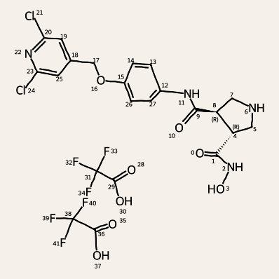 O=C(NO)[C@H]1CNC[C@@H]1C(=O)Nc1ccc(OCc2cc(Cl)nc(Cl)c2)cc1.O=C(O)C(F)(F)F.O=C(O)C(F)(F)F